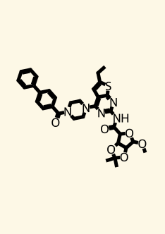 CCc1cc2c(N3CCN(C(=O)c4ccc(-c5ccccc5)cc4)CC3)nc(NC(=O)C3OC(OC)C4OC(C)(C)OC34)nc2s1